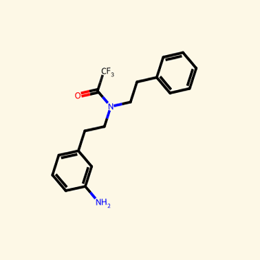 Nc1cccc(CCN(CCc2ccccc2)C(=O)C(F)(F)F)c1